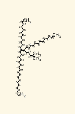 C=CCCCCCCCCCCCCCCCCC(CCCCCCCCCCC=C)=C(CCC=C(C)C)CCCCCCCCCCCCC